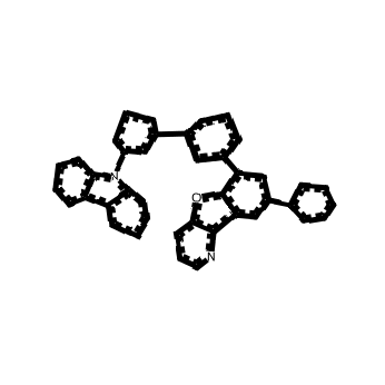 c1ccc(-c2cc(-c3cccc(-c4cccc(-n5c6ccccc6c6ccccc65)c4)c3)c3oc4cccnc4c3c2)cc1